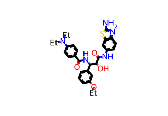 CCOc1cccc(C(NC(=O)c2ccc(N(CC)CC)cc2)C(O)C(=O)Nc2ccc3nc(N)sc3c2)c1